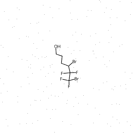 OCCCC(Br)C(F)(F)C(F)(F)Br